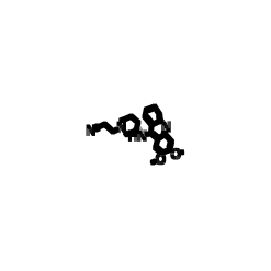 COc1cc2nc3ccccc3c(N[C@@H]3CCCN(CCC#N)C3)c2cc1OC